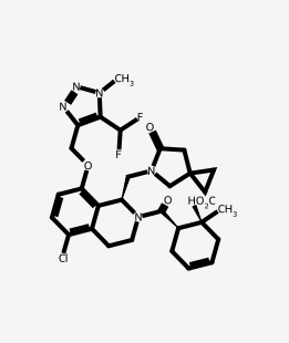 Cn1nnc(COc2ccc(Cl)c3c2[C@@H](CN2CC4(CC4)CC2=O)N(C(=O)[C@@H]2CC=CC[C@]2(C)C(=O)O)CC3)c1C(F)F